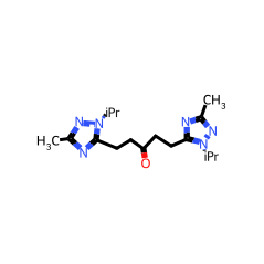 Cc1nc(CCC(=O)CCc2nc(C)nn2C(C)C)n(C(C)C)n1